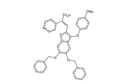 COc1ccc(Oc2c(/C=C(/C(=O)O)c3ccncc3)sc3cc(OCc4ccccc4)c(OCc4ccccc4)cc23)cc1